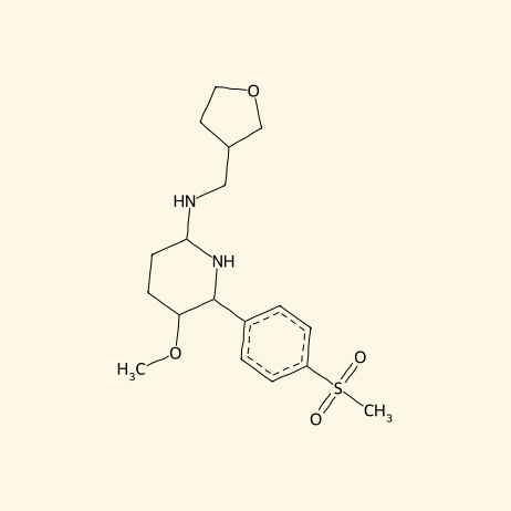 COC1CCC(NCC2CCOC2)NC1c1ccc(S(C)(=O)=O)cc1